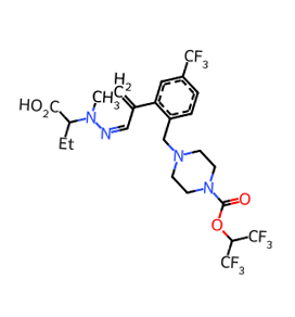 C=C(/C=N\N(C)C(CC)C(=O)O)c1cc(C(F)(F)F)ccc1CN1CCN(C(=O)OC(C(F)(F)F)C(F)(F)F)CC1